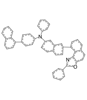 c1ccc(-c2nc3c(ccc4cccc(-c5ccc6ccc(N(c7ccccc7)c7ccc(-c8cccc9ccccc89)cc7)cc6c5)c43)o2)cc1